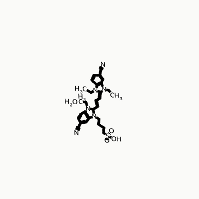 CCN1C(=CC=CC2N(CC)c3ccc(C#N)cc3N2CCCCS(=O)(=O)O)N(CC)c2cc(C#N)ccc21.O